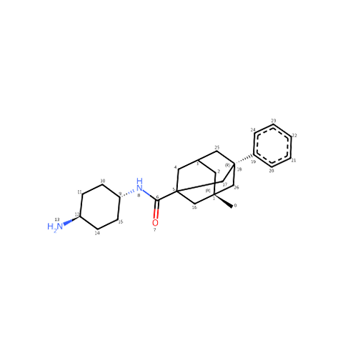 C[C@]12CC3CC(C(=O)N[C@H]4CC[C@H](N)CC4)(C1)C[C@@](c1ccccc1)(C3)C2